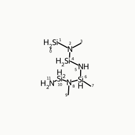 C[SiH2]N(C)[SiH2]N[SiH](C)N(C)[SiH2]N